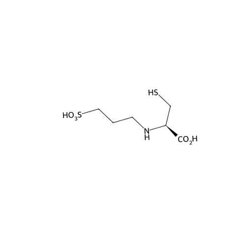 O=C(O)[C@H](CS)NCCCS(=O)(=O)O